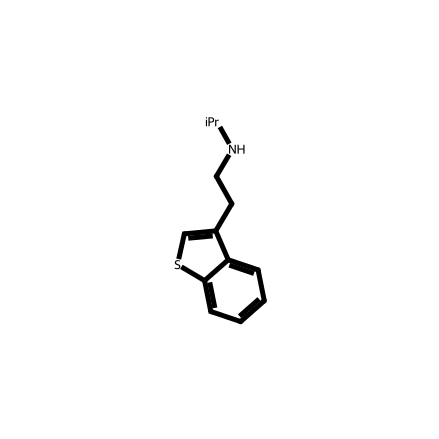 CC(C)NCCc1csc2ccccc12